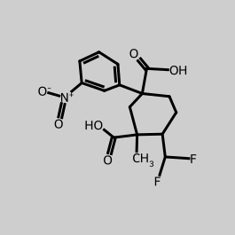 CC1(C(=O)O)CC(C(=O)O)(c2cccc([N+](=O)[O-])c2)CCC1C(F)F